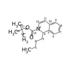 CCCCC1c2ccccc2C=CN1C(=O)OC(C)(C)C